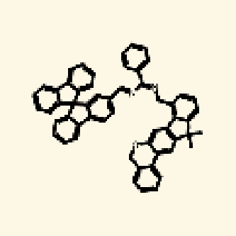 CC1(C)c2cc3c(cc2-c2c(C/N=C(\N=C\c4ccc5c(c4)C4(c6ccccc6-c6ccccc64)c4ccccc4-5)c4ccccc4)cccc21)OCc1ccccc1-3